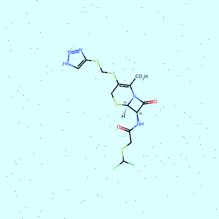 O=C(CSC(F)F)N[C@@H]1C(=O)N2C(C(=O)O)=C(SCSc3c[nH]nn3)CS[C@H]12